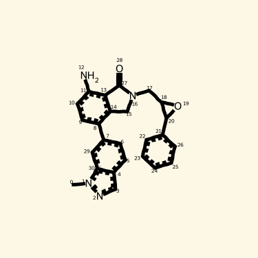 Cn1ncc2ccc(-c3ccc(N)c4c3CN(CC3OC3c3ccccc3)C4=O)cc21